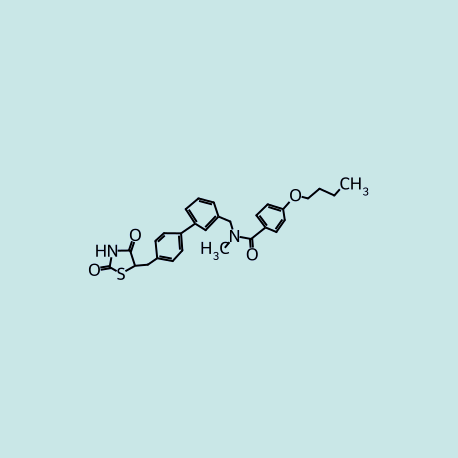 CCCCOc1ccc(C(=O)N(C)Cc2cccc(-c3ccc(CC4SC(=O)NC4=O)cc3)c2)cc1